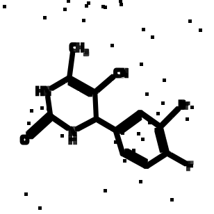 CC1=C(C#N)C(c2ccc(F)c(Br)c2)NC(=O)N1